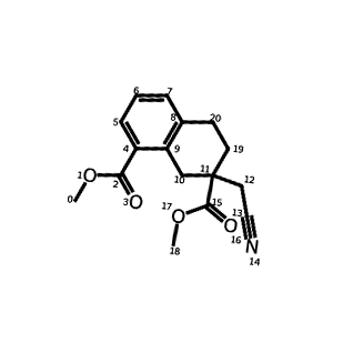 COC(=O)c1cccc2c1CC(CC#N)(C(=O)OC)CC2